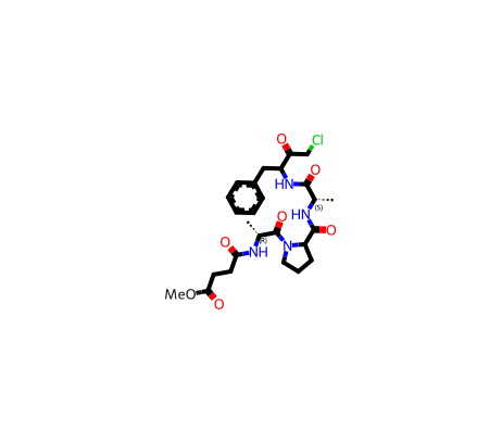 COC(=O)CCC(=O)N[C@H](C)C(=O)N1CCCC1C(=O)N[C@@H](C)C(=O)NC(Cc1ccccc1)C(=O)CCl